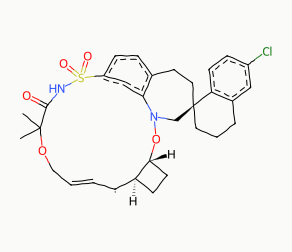 CC1(C)OC/C=C/[CH][C@@H]2CC[C@H]2ON2C[C@@]3(CCCc4cc(Cl)ccc43)CCc3ccc(cc32)S(=O)(=O)NC1=O